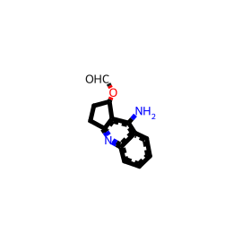 Nc1c2c(nc3ccccc13)CCC2OC=O